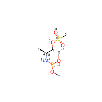 COP(N[C@@H](C)COS(C)(=O)=O)OC